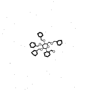 O=Cc1ccccc1[C@@H]1O[C@H](COCc2ccccc2)[C@@H](OCc2ccccc2)[C@H](OCc2ccccc2)[C@H]1OCc1ccccc1